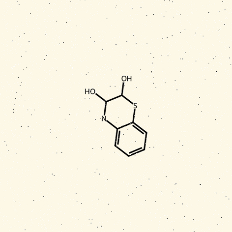 OC1[N]c2ccccc2SC1O